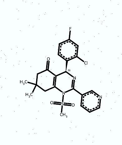 CC1(C)CC(=O)C2=C(C1)N(S(C)(=O)=O)C(c1cccnc1)=N[C@@H]2c1ccc(F)cc1Cl